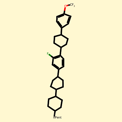 CCCCCC1CCC(C2CCC(c3ccc(C4CCC(c5ccc(OC(F)(F)F)cc5)CC4)c(F)c3)CC2)CC1